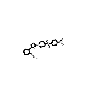 COc1ccccc1-c1csc(N2CCC(S(=O)(=O)c3ccc([N+](=O)[O-])cc3)CC2)n1